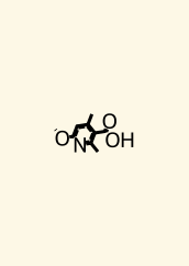 COc1cc(C)c(C(=O)O)c(C)n1